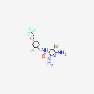 Nc1nc(N)c(C(=O)NCc2ccc(OCC(F)(F)F)cc2F)cc1Br